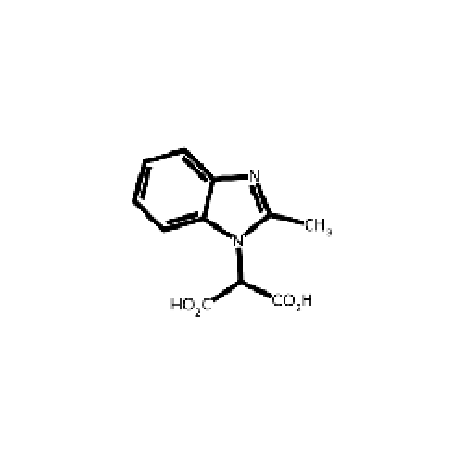 Cc1nc2ccccc2n1C(C(=O)O)C(=O)O